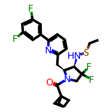 CCSN[C@@H]1[C@H](Cc2cccc(-c3cc(F)cc(F)c3)n2)N(C(=O)C23CC(C2)C3)CC1(F)F